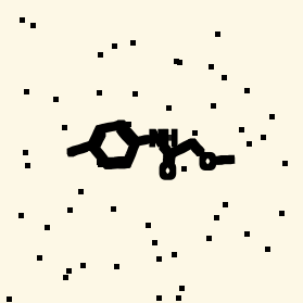 COCC(=O)Nc1ccc(C)cc1